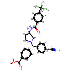 COC(=O)c1ccc([C@@H](c2ccc(C#N)cc2)N2CCC(NC(=O)c3ccc(C(F)(F)F)cc3)C2)cc1